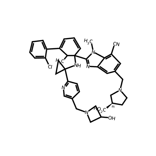 CC1C(c2ccccc2Cl)=CC=CC1(NC1(c2ccc(CN3CC(O)C3)cn2)CC1)c1nc2cc(CN3CC[C@@H](C(=O)O)C3)cc(C#N)c2n1C